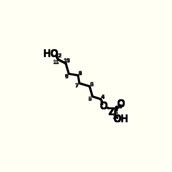 [O]=[Zr]([OH])[O]CCCCCCCCO